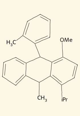 COc1ccc(C(C)C)c2c1C(c1ccccc1C)c1ccccc1C2C